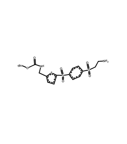 CC(C)(C)OC(=O)NCc1ccc(S(=O)(=O)c2ccc(S(=O)(=O)CCN)cc2)s1